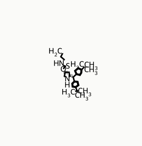 C=CCCNC(=S)O[C@H]1CN[C@@H](C(c2ccc(C(C)(C)C)cc2)c2ccc(C(C)(C)C)cc2)C1